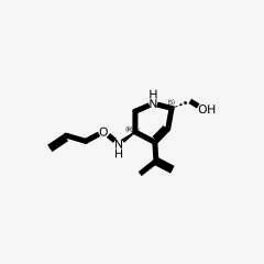 C=CCON[C@H]1CN[C@H](CO)C=C1C(=C)C